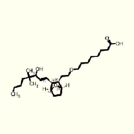 CCCCC(C)(C)C(O)/C=C/[C@H]1[C@@H](CCOCCCCCCCC(=O)O)[C@H]2CC[C@@H]1O2